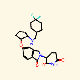 O=C1CCC(N2Cc3cc(OC4CCCC4NCC4CCC(F)(F)CC4)ccc3C2=O)C(=O)N1